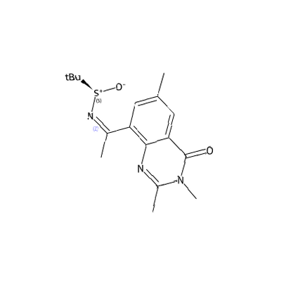 C/C(=N/[S@+]([O-])C(C)(C)C)c1cc(C)cc2c(=O)n(C)c(C)nc12